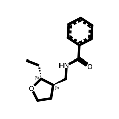 CC[C@H]1OCC[C@@H]1CNC(=O)c1ccccc1